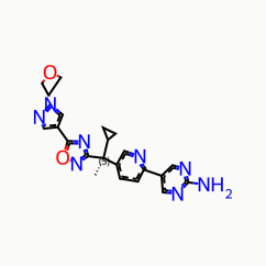 C[C@](c1ccc(-c2cnc(N)nc2)nc1)(c1noc(-c2cnn(C3COC3)c2)n1)C1CC1